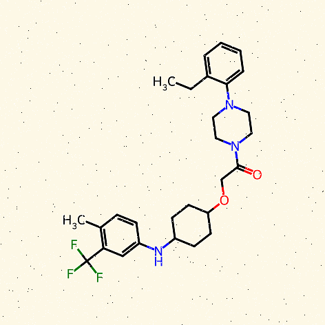 CCc1ccccc1N1CCN(C(=O)COC2CCC(Nc3ccc(C)c(C(F)(F)F)c3)CC2)CC1